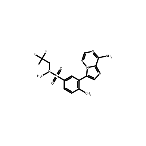 Cc1ccc(S(=O)(=O)N(C)CC(F)(F)F)cc1-c1cnc2c(N)ncnn12